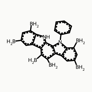 Bc1cc(B)c2[nH]c3c(c(B)c(B)c4c5cc(B)cc(B)c5n(-c5ccccc5)c34)c2c1